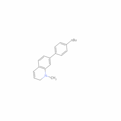 CCCCc1ccc(-c2ccc3c(c2)N(C)CC=C3)cc1